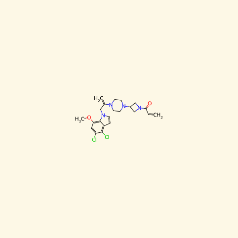 C=CC(=O)N1CC(N2CCN(C(=C)Cn3ccc4c(Cl)c(Cl)cc(OC)c43)CC2)C1